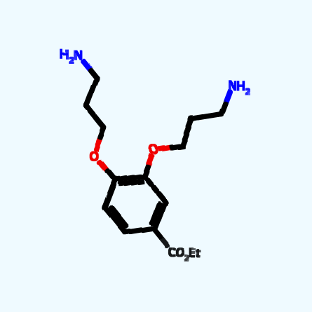 CCOC(=O)c1ccc(OCCCN)c(OCCCN)c1